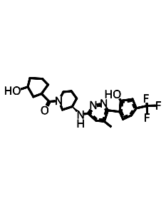 Cc1cc(N[C@@H]2CCCN(C(=O)C3CCCC(O)C3)C2)nnc1-c1ccc(C(F)(F)F)cc1O